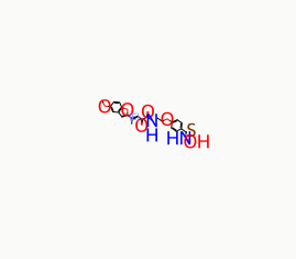 COc1ccc2oc(/C(C)=C/C(=O)C(=O)NCCOc3ccc(C(=S)NO)cc3)cc2c1